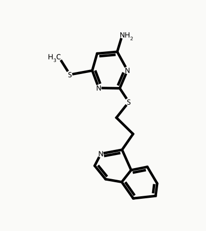 CSc1cc(N)nc(SCCc2nccc3ccccc23)n1